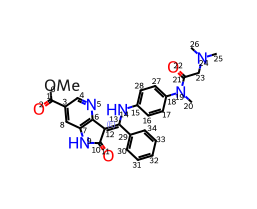 COC(=O)c1cnc2c(c1)NC(=O)/C2=C(/Nc1ccc(N(C)C(=O)CN(C)C)cc1)c1ccccc1